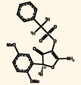 [2H]C([2H])(c1ccccc1)S(=O)(=O)OC1=C(N)O[C@@]([2H])(c2cc(OC)ccc2OC)C1=O